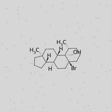 C[C@@H]1CCC[C@]2(Br)CC[C@H]3[C@@H]4CCC[C@@]4(C)CC[C@@H]3[C@@]12CO